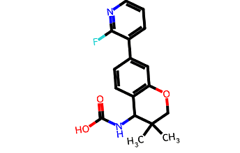 CC1(C)COc2cc(-c3cccnc3F)ccc2C1NC(=O)O